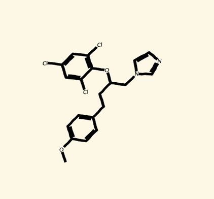 COc1ccc(CCC(Cn2ccnc2)Oc2c(Cl)cc(Cl)cc2Cl)cc1